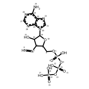 N=NC1C(COP(=O)(O)OP(=O)(O)OP(=O)(O)O)OC(n2cnc3c(N)ncnc32)C1O